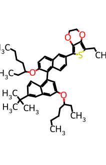 CCCCC(CC)Oc1cc(-c2c(OC(CC)CCCC)ccc3cc(-c4sc(CC)c5c4OCCO5)ccc23)c2ccc(C(C)(C)C)cc2c1